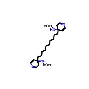 CCCCCCCCNC1(CCCCCCCCCCC2(NCCCCCCCC)C=CN=CC2)C=CN=CC1